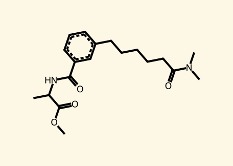 COC(=O)C(C)NC(=O)c1cccc(CCCCCC(=O)N(C)C)c1